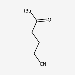 CC(C)(C)C(=O)CCCC#N